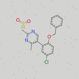 Cc1nc(C[SH](=O)=O)ncc1-c1cc(Cl)ccc1OCc1ccccc1